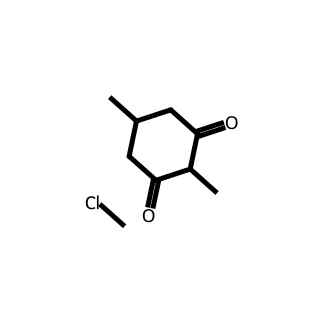 CC1CC(=O)C(C)C(=O)C1.CCl